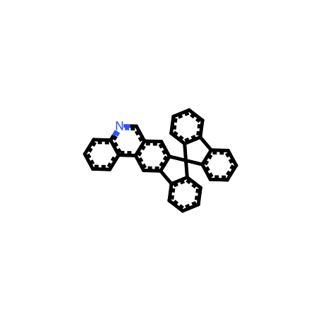 c1ccc2c(c1)-c1ccccc1C21c2ccccc2-c2cc3c(cnc4ccccc43)cc21